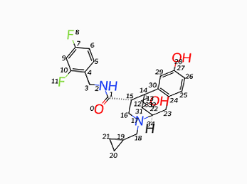 O=C(NCc1ccc(F)cc1F)[C@@H]1C[C@]23CCN(CC4CC4)[C@H](Cc4ccc(O)cc42)[C@]3(O)C1